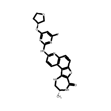 C[C@@H]1CNc2c(sc3ccc4nc(Nc5nc(F)cc(O[C@H]6CCOC6)n5)ccc4c23)C(=O)N1